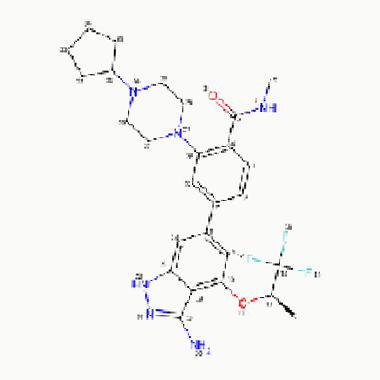 CNC(=O)c1ccc(-c2cc(O[C@H](C)C(F)(F)F)c3c(N)n[nH]c3c2)cc1N1CCN(C2CCCC2)CC1